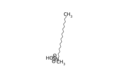 CCCCCCCCCCCCCCCCCCN(C)S(=O)(=O)O